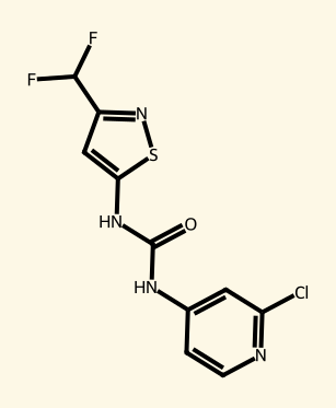 O=C(Nc1ccnc(Cl)c1)Nc1cc(C(F)F)ns1